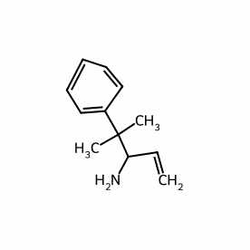 C=CC(N)C(C)(C)c1ccccc1